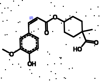 COc1cc(/C=C\C(=O)OC2CCC(C)(C(=O)O)CC2)ccc1O